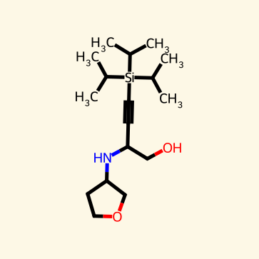 CC(C)[Si](C#CC(CO)NC1CCOC1)(C(C)C)C(C)C